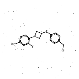 N#Cc1ccc(N2CC(Sc3ccc(CBr)cc3)C2)c(F)c1